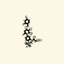 Cc1cc(OCc2ccc(F)cc2F)c(Cl)c(=O)n1-c1ccc2c(c1)N(C(=O)CO)CN2S(C)(=O)=O